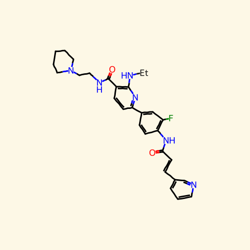 CCNc1nc(-c2ccc(NC(=O)C=Cc3cccnc3)c(F)c2)ccc1C(=O)NCCN1CCCCC1